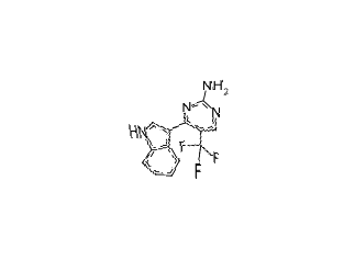 Nc1ncc(C(F)(F)F)c(-c2c[nH]c3ccccc23)n1